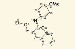 CCOCc1cc2ccccc2oc1=Nc1ccc(OC)cc1